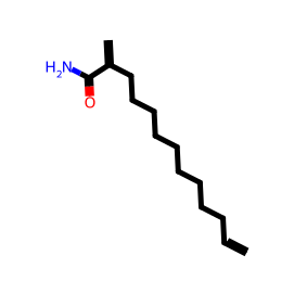 C=CCCCCCCCCCC(=C)C(N)=O